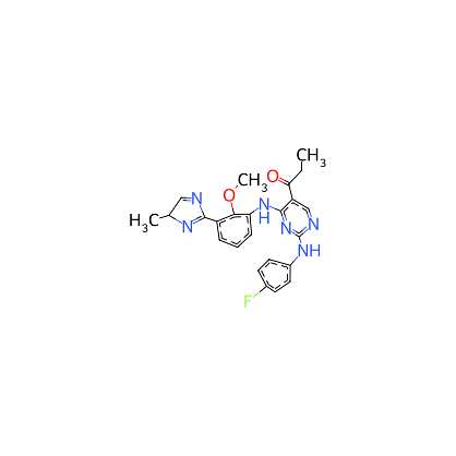 CCC(=O)c1cnc(Nc2ccc(F)cc2)nc1Nc1cccc(C2=NC(C)C=N2)c1OC